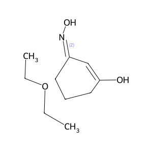 CCOCC.O/N=C1\C=C(O)CCC1